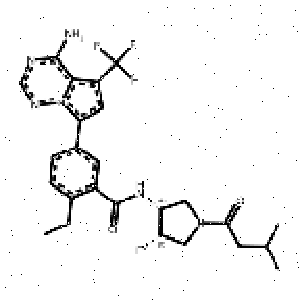 CCc1ccc(-c2cc(C(F)(F)F)c3c(N)ncnn23)cc1C(=O)N[C@@H]1CN(C(=O)CC(C)C)C[C@@H]1F